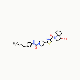 CCCCc1ccc(NC(=O)N2CCC(c3nc(C(=O)N4CCC(O)C5CCCCC54)cs3)CC2)cc1